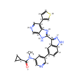 CN(C(=O)C1CC1)c1cncc(-c2ccc3[nH]nc(-c4nc5c(-c6ccsc6)cncc5[nH]4)c3c2)c1